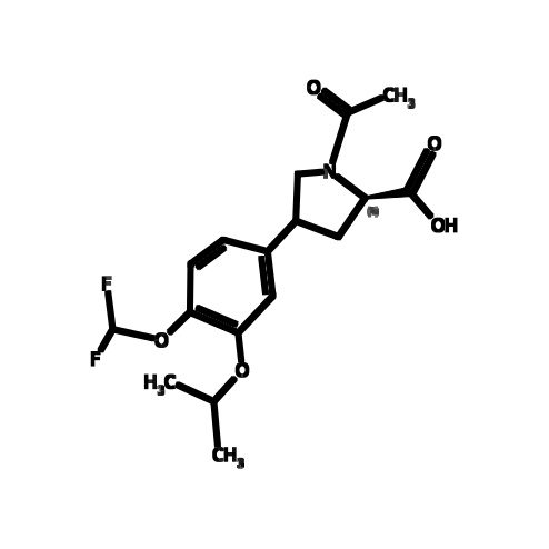 CC(=O)N1CC(c2ccc(OC(F)F)c(OC(C)C)c2)C[C@@H]1C(=O)O